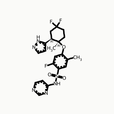 Cc1cc(S(=O)(=O)Nc2ccncn2)c(F)cc1O[C@]1(C)CCC(F)(F)C[C@@H]1c1ccn[nH]1